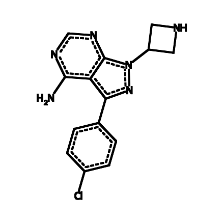 Nc1ncnc2c1c(-c1ccc(Cl)cc1)nn2C1CNC1